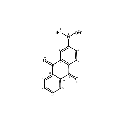 CCCN(CCC)c1ccc2c(c1)C(=O)c1ccccc1C2=O